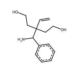 C=CC(CCO)(CCO)C(N)c1ccccc1